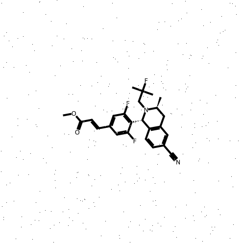 COC(=O)/C=C/c1cc(F)c([C@H]2c3ccc(C#N)cc3C[C@H](C)N2CC(C)(C)F)c(F)c1